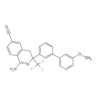 COc1cccc(-c2cccc(C3(C(F)(F)F)Cc4cc(C#N)ccc4C(N)=N3)c2)c1